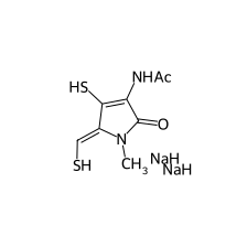 CC(=O)NC1=C(S)C(=CS)N(C)C1=O.[NaH].[NaH]